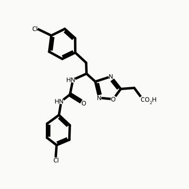 O=C(O)Cc1nc(C(Cc2ccc(Cl)cc2)NC(=O)Nc2ccc(Cl)cc2)no1